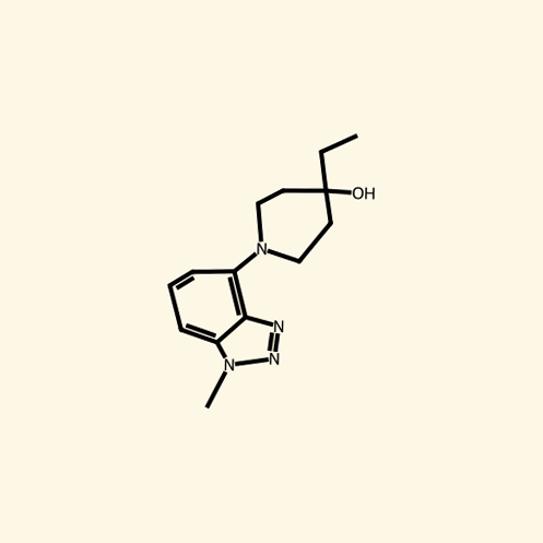 CCC1(O)CCN(c2cccc3c2nnn3C)CC1